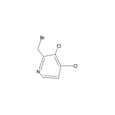 Clc1ccnc(CBr)c1Cl